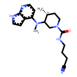 C[C@@H]1CCN(C(=O)NCCCC#N)CC1N(C)c1ccnc2[nH]ccc12